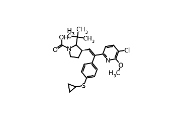 COc1nc(C(=C[C@H]2CCN(C(=O)O)C2C(C)(C)C)c2ccc(SC3CC3)cc2)ccc1Cl